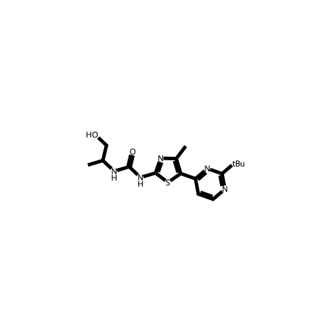 Cc1nc(NC(=O)NC(C)CO)sc1-c1ccnc(C(C)(C)C)n1